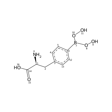 N[C@@H](Cc1ccc(B(OO)OO)cc1)C(=O)O